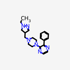 CCN1CC(CN2CCN(c3nccnc3-c3ccccc3)CC2)C=N1